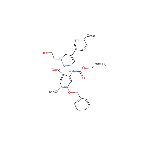 C=CCOC(=O)Nc1cc(OCc2ccccc2)c(OC)cc1C(=O)N1CC=C(c2ccc(OC)cc2)C[C@H]1CCO